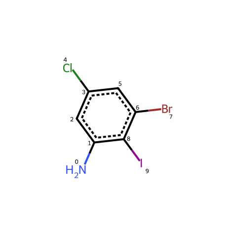 Nc1cc(Cl)cc(Br)c1I